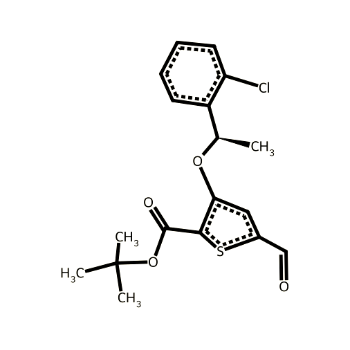 C[C@@H](Oc1cc(C=O)sc1C(=O)OC(C)(C)C)c1ccccc1Cl